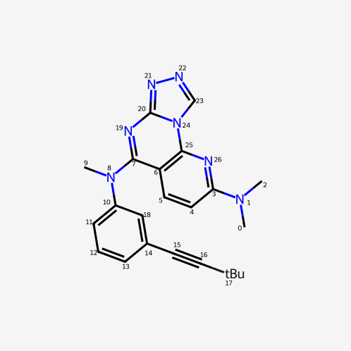 CN(C)c1ccc2c(N(C)c3cccc(C#CC(C)(C)C)c3)nc3nncn3c2n1